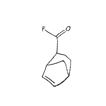 O=C(F)C1CC2C=CC1C2